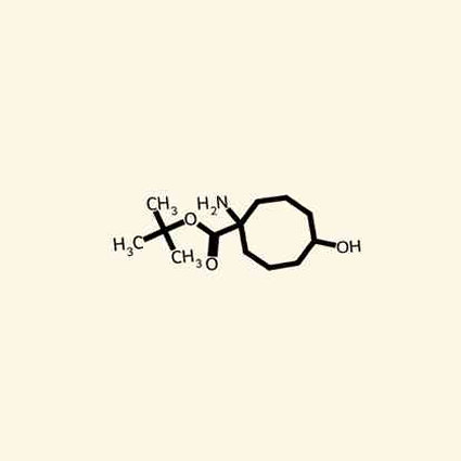 CC(C)(C)OC(=O)C1(N)CCCC(O)CCC1